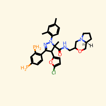 Cc1ccc(N2N=C(c3ccc(P)cc3P)C(c3ccc(Cl)o3)C2(C)C(=O)NCC2CN3CCC[C@H]3CO2)c(C)c1